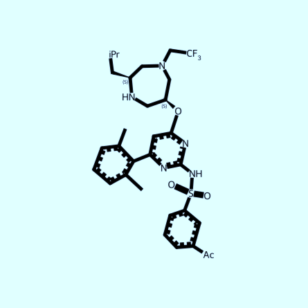 CC(=O)c1cccc(S(=O)(=O)Nc2nc(O[C@H]3CN[C@@H](CC(C)C)CN(CC(F)(F)F)C3)cc(-c3c(C)cccc3C)n2)c1